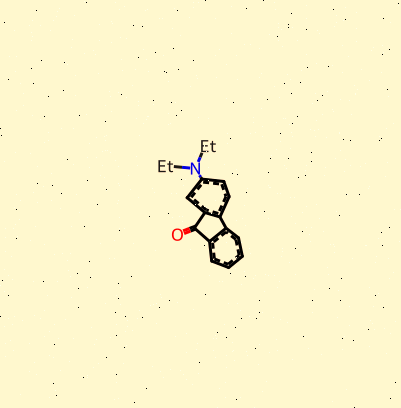 CCN(CC)c1ccc2c(c1)C(=O)c1ccccc1-2